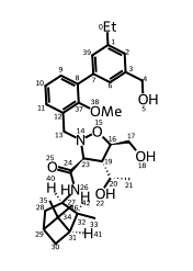 CCc1cc(CO)cc(-c2cccc(CN3O[C@@H](CO)[C@H]([C@H](C)O)[C@H]3C(=O)N[C@@H]3CC4C[C@H]([C@@H]3C)C4(C)C)c2OC)c1